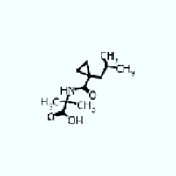 CC(C)CC1(C(=O)NC(C)(C)C(=O)O)CC1